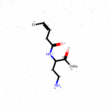 CC/C=C\CC(=O)NC(CCN)C(=O)OC